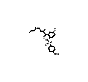 C/C=C/N=C\C=C(/C)C(=O)c1cc(Cl)ccc1NS(=O)(=O)c1ccc(C(C)(C)C)cc1